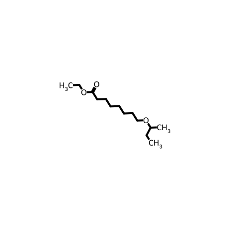 CCOC(=O)CCCCCCCOC(C)CC